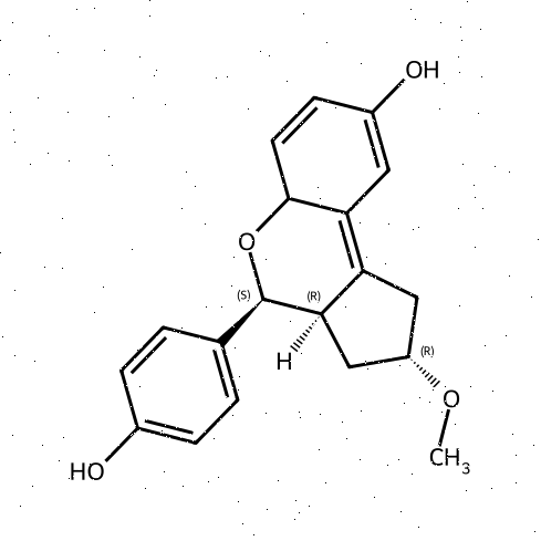 CO[C@H]1CC2=C3C=C(O)C=CC3O[C@H](c3ccc(O)cc3)[C@@H]2C1